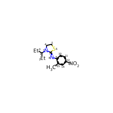 CCC(CC)N1CCSC1=Nc1ccc([N+](=O)[O-])cc1C